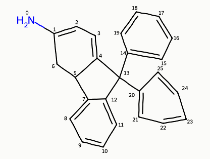 NC1=CC=C2C(C1)c1ccccc1C2(c1ccccc1)c1ccccc1